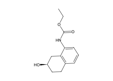 CCOC(=O)Nc1cccc2c1C[C@H](O)CC2